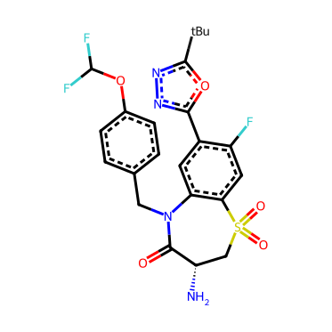 CC(C)(C)c1nnc(-c2cc3c(cc2F)S(=O)(=O)C[C@H](N)C(=O)N3Cc2ccc(OC(F)F)cc2)o1